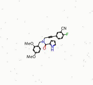 COc1ccc(CN(CC#Cc2ccc(F)c(C#N)c2)C(=O)c2ccc[nH]2)c(OC)c1